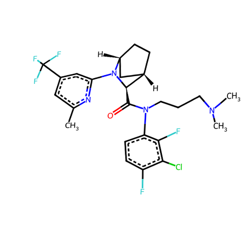 Cc1cc(C(F)(F)F)cc(N2[C@@H]3CC[C@@H](C3)[C@H]2C(=O)N(CCCN(C)C)c2ccc(F)c(Cl)c2F)n1